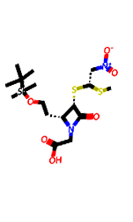 CS[C@@H](C[N+](=O)[O-])S[C@@H]1C(=O)N(CC(=O)O)[C@@H]1CCO[Si](C)(C)C(C)(C)C